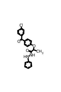 CC(Oc1ccc(C(=O)c2ccc(Cl)cc2)cc1)C(=O)NNc1ccccc1